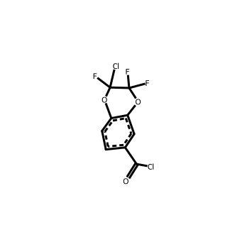 O=C(Cl)c1ccc2c(c1)OC(F)(F)C(F)(Cl)O2